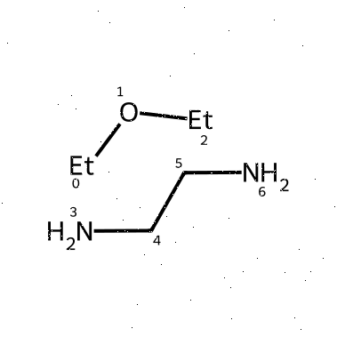 CCOCC.NCCN